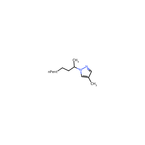 CCCCCCCC(C)n1cc(C)cn1